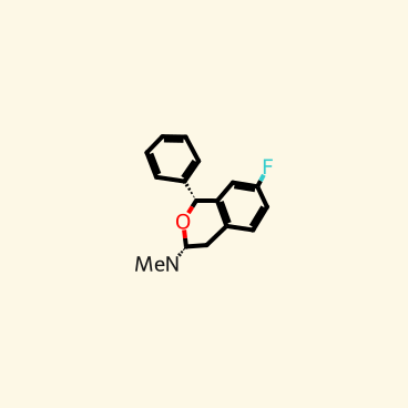 CN[C@H]1Cc2ccc(F)cc2[C@@H](c2ccccc2)O1